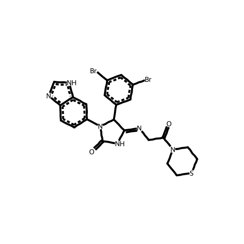 O=C(CN=C1NC(=O)N(c2ccc3nc[nH]c3c2)C1c1cc(Br)cc(Br)c1)N1CCSCC1